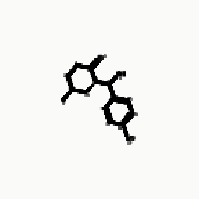 C[C@H]1CCC(=O)[C@H]([C@@H](O)c2ccc(N=O)cc2)C1